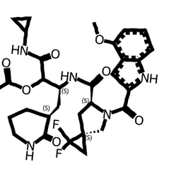 COc1cccc2[nH]c(C(=O)N3C[C@]4(C[C@H]3C(=O)N[C@@H](C[C@@H]3CCCNC3=O)C(OC(C)=O)C(=O)NC3CC3)CC4(F)F)cc12